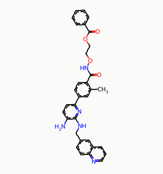 Cc1cc(-c2ccc(N)c(NCc3ccc4ncccc4c3)n2)ccc1C(=O)NOCCOC(=O)c1ccccc1